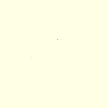 Cc1coc(-c2ccccc2N)n1